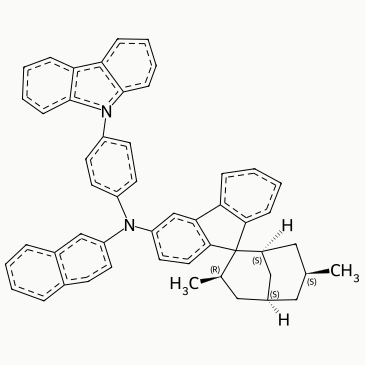 C[C@H]1C[C@@H]2C[C@H](C1)C1(c3ccccc3-c3cc(N(c4ccc(-n5c6ccccc6c6ccccc65)cc4)c4ccc5ccccc5c4)ccc31)[C@H](C)C2